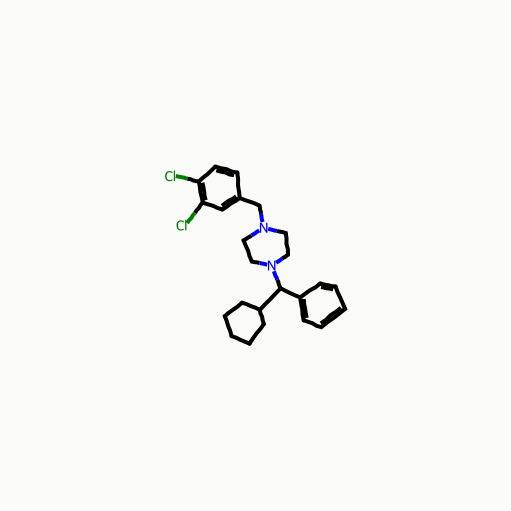 Clc1ccc(CN2CCN(C(c3ccccc3)C3CCCCC3)CC2)cc1Cl